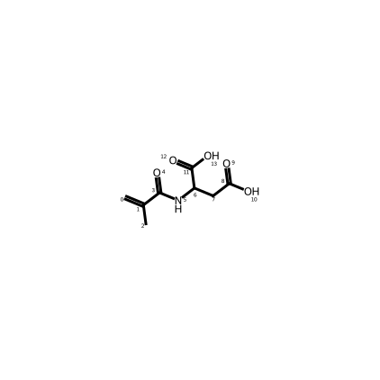 C=C(C)C(=O)NC(CC(=O)O)C(=O)O